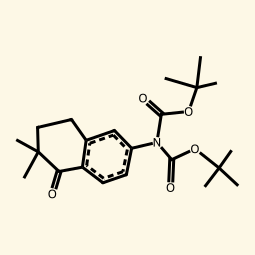 CC(C)(C)OC(=O)N(C(=O)OC(C)(C)C)c1ccc2c(c1)CCC(C)(C)C2=O